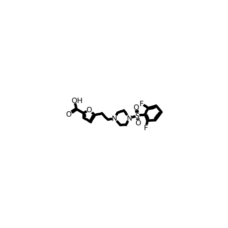 O=C(O)c1ccc(CCN2CCN(S(=O)(=O)c3c(F)cccc3F)CC2)o1